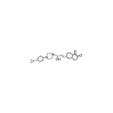 O=c1ccc2cc(C=CC(O)CN3CCN(c4ccc(C5CC5)cc4)CC3)ccc2[nH]1